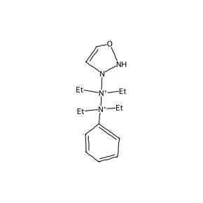 CC[N+](CC)(c1[c]cccc1)[N+](CC)(CC)N1C=CON1